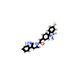 CC(Cc1c[nH]c2ccccc12)NC(=O)C=C1CCC(c2ccc(F)cc2)(N(C)C)CC1